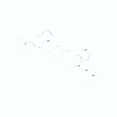 COC(=O)C1=CC(O)c2c(OCC(O)COc3cccc4oc(C(=O)OC)cc(=O)c34)cccc2O1